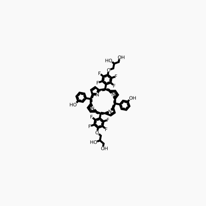 OCC(O)COc1c(F)c(F)c(-c2c3nc(c(-c4cccc(O)c4)c4ccc([nH]4)c(-c4c(F)c(F)c(OCC(O)CO)c(F)c4F)c4nc(c(-c5cccc(O)c5)c5ccc2[nH]5)C=C4)C=C3)c(F)c1F